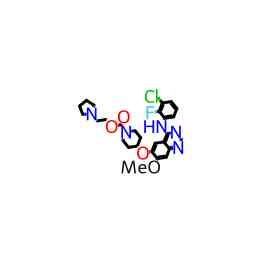 COc1cc2ncnc(Nc3cccc(Cl)c3F)c2cc1OC1CCN(C(=O)OCCN2CCCC2)CC1